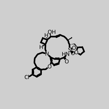 C[C@@H]1C/C=C/[C@H](O)[C@@H]2CC[C@H]2CN2CCCCc3cc(Cl)ccc3COc3ccc(cc32)C(=O)NS(=O)(=O)[C@H]1C[C@H]1CCCO1